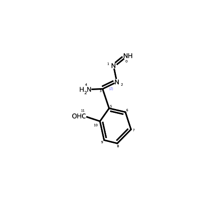 N=N/N=C(\N)c1ccccc1C=O